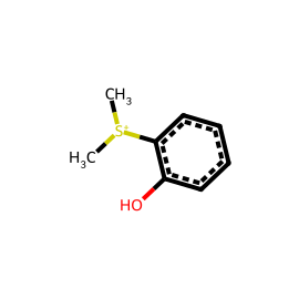 C[S+](C)c1ccccc1O